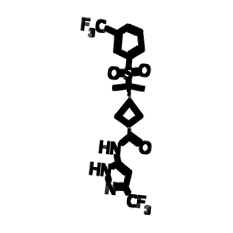 CC(C)([C@H]1C[C@@H](C(=O)Nc2cc(C(F)(F)F)n[nH]2)C1)S(=O)(=O)c1cccc(C(F)(F)F)c1